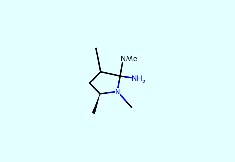 CNC1(N)C(C)C[C@H](C)N1C